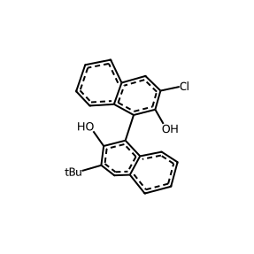 CC(C)(C)c1cc2ccccc2c(-c2c(O)c(Cl)cc3ccccc23)c1O